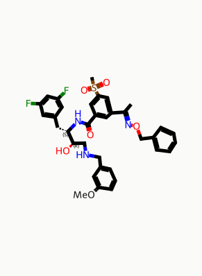 COc1cccc(CNC[C@@H](O)[C@H](Cc2cc(F)cc(F)c2)NC(=O)c2cc(C(C)=NOCc3ccccc3)cc(S(C)(=O)=O)c2)c1